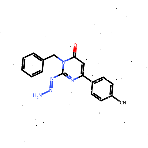 N#Cc1ccc(-c2cc(=O)n(Cc3ccccc3)c(N=NN)n2)cc1